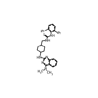 CC(C)c1cccc(C(C)C)c1NC(=S)NCC1CCC(Nc2nc(N(C)C)c3ccccc3n2)CC1